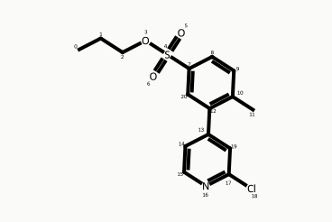 CCCOS(=O)(=O)c1ccc(C)c(-c2ccnc(Cl)c2)c1